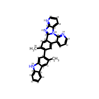 Cc1cc2c(cc1-c1cc3c4cccnc4n4c5cccnc5nc4c3cc1C)[nH]c1ccccc12